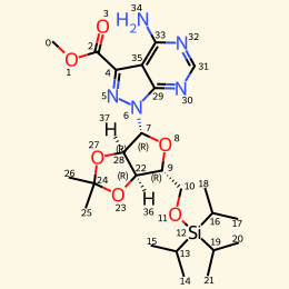 COC(=O)c1nn([C@@H]2O[C@H](CO[Si](C(C)C)(C(C)C)C(C)C)[C@H]3OC(C)(C)O[C@H]32)c2ncnc(N)c12